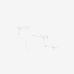 CCC(=O)Nc1c(C)noc1C